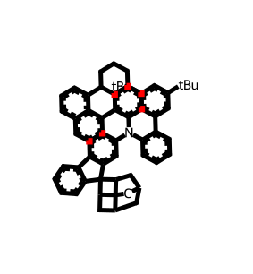 CC(C)(C)c1cc(-c2ccccc2N(c2ccc3c(c2)C2(c4ccccc4-3)C3CC4CC5CC2C53C4)c2ccccc2-c2cccc3cccc(C4CCCCC4)c23)cc(C(C)(C)C)c1